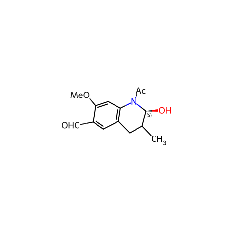 COc1cc2c(cc1C=O)CC(C)[C@H](O)N2C(C)=O